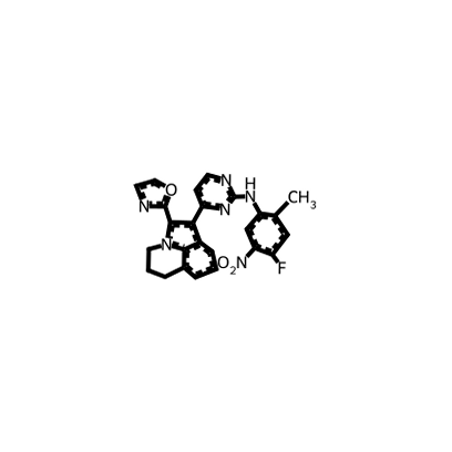 Cc1cc(F)c([N+](=O)[O-])cc1Nc1nccc(-c2c(-c3ncco3)n3c4c(cccc24)CCC3)n1